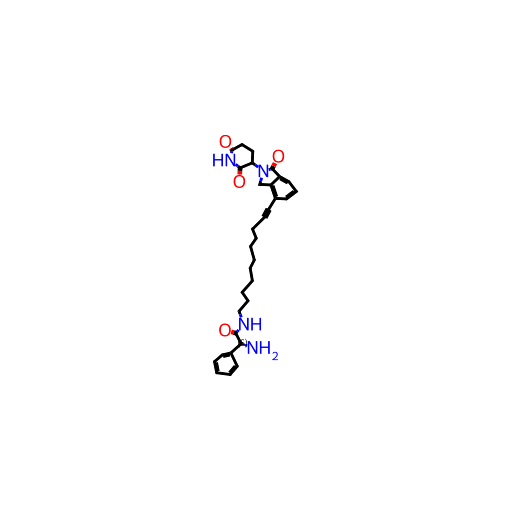 N[C@H](C(=O)NCCCCCCCCCC#Cc1cccc2c1CN(C1CCC(=O)NC1=O)C2=O)c1ccccc1